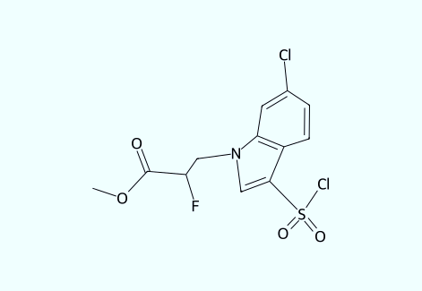 COC(=O)C(F)Cn1cc(S(=O)(=O)Cl)c2ccc(Cl)cc21